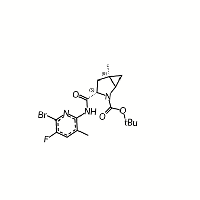 Cc1cc(F)c(Br)nc1NC(=O)[C@@H]1C[C@@]2(C)CC2N1C(=O)OC(C)(C)C